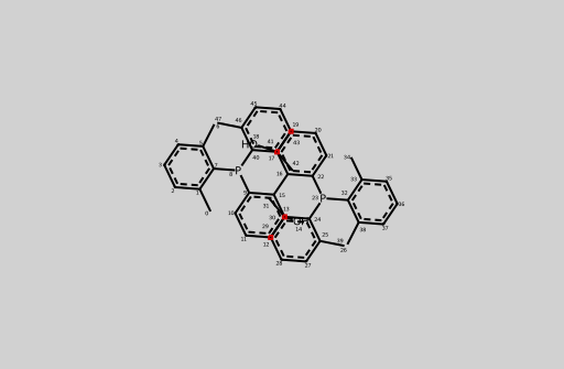 Cc1cccc(C)c1P(c1cccc(O)c1-c1c(O)cccc1P(c1c(C)cccc1C)c1c(C)cccc1C)c1c(C)cccc1C